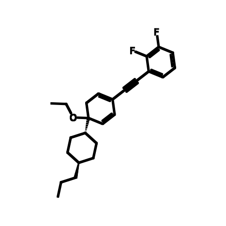 CCC[C@H]1CC[C@H](C2(OCC)C=CC(C#Cc3cccc(F)c3F)=CC2)CC1